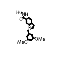 COc1cc(Cn2ccc3ccc(C(=O)NO)cc32)cc(OC)c1